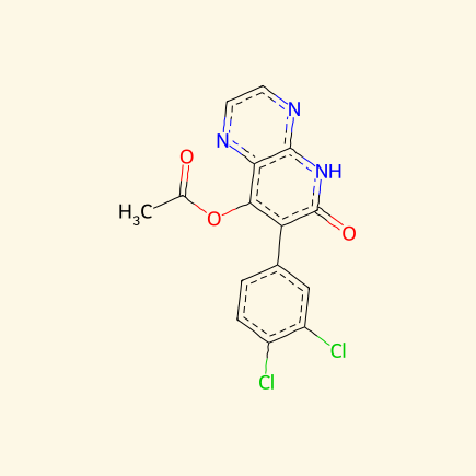 CC(=O)Oc1c(-c2ccc(Cl)c(Cl)c2)c(=O)[nH]c2nccnc12